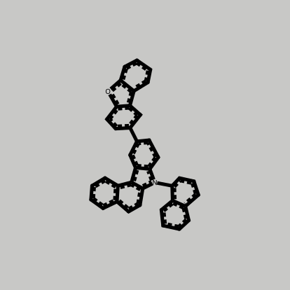 c1ccc2c(-n3c4ccc(-c5ccc6oc7ccccc7c6c5)cc4c4c5ccccc5ccc43)cccc2c1